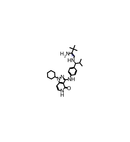 CC(C)C(N/C=C(\N)C(C)(C)C)c1ccc(Nc2nn(C3CCCCC3)c3cc[nH]c(=O)c23)cc1